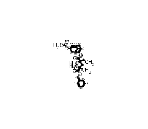 CCC(C)(CC(C)(C)C(=O)OCc1ccccc1)C(=O)OC1C2CC3CC1CC(OC(C)=O)(C3)C2